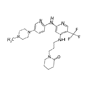 CN1CCN(c2ccc(Nc3cc(NCCCN4CCCCC4=O)c(C(F)(F)F)cn3)nc2)CC1